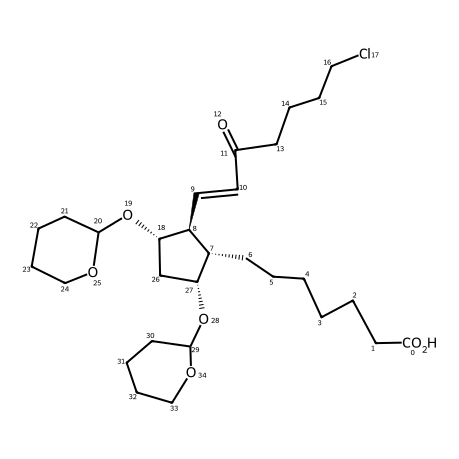 O=C(O)CCCCCC[C@H]1[C@H](C=CC(=O)CCCCCl)[C@@H](OC2CCCCO2)C[C@H]1OC1CCCCO1